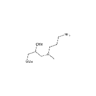 COCC(CN(C)CCCN)OC